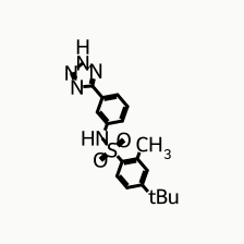 Cc1cc(C(C)(C)C)ccc1S(=O)(=O)Nc1cccc(-c2nn[nH]n2)c1